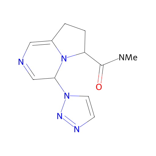 CNC(=O)C1CCC2=CN=CC(n3ccnn3)N21